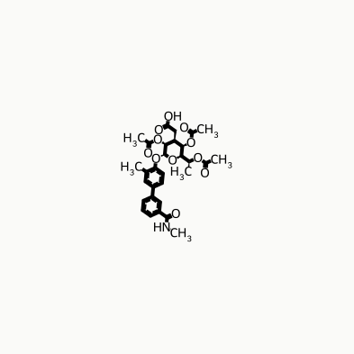 CNC(=O)c1cccc(-c2ccc(O[C@H]3O[C@H]([C@@H](C)OC(C)=O)[C@H](OC(C)=O)[C@H](CC(=O)O)[C@@H]3OC(C)=O)c(C)c2)c1